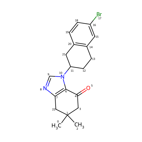 CC1(C)CC(=O)c2c(ncn2C2CCc3cc(Br)ccc3C2)C1